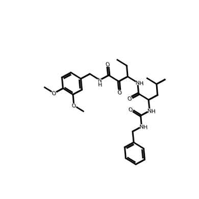 CCC(NC(=O)C(CC(C)C)NC(=O)NCc1ccccc1)C(=O)C(=O)NCc1ccc(OC)c(OC)c1